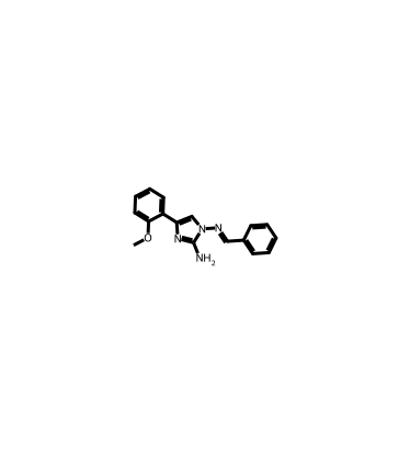 COc1ccccc1-c1cn(N=Cc2ccccc2)c(N)n1